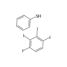 Ic1ccc(I)c(I)c1I.Sc1ccccc1